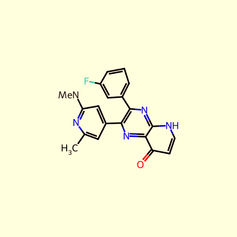 CNc1cc(-c2nc3c(=O)cc[nH]c3nc2-c2cccc(F)c2)cc(C)n1